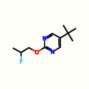 CC(F)COc1ncc(C(C)(C)C)cn1